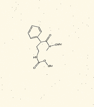 CON(C)C(=O)C(CCNC(=O)OC(C)(C)C)c1ccccc1